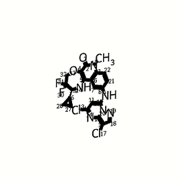 Cn1c(=O)c2c(c3cc(Nc4cc(Cl)nc5c(Cl)cnn45)ccc31)N[C@@H](C1CC1)C(F)(F)CO2